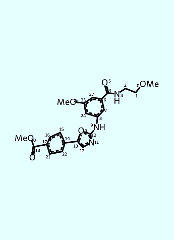 COCCNC(=O)c1cc(Nc2ncc(-c3ccc(C(=O)OC)cc3)o2)cc(OC)c1